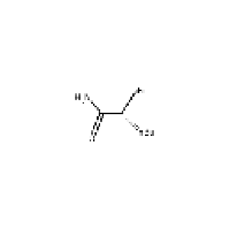 CCCC[C@H](C(N)=O)C(C)C